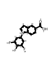 O=C(O)c1ccc2c(ccn2-c2cc(F)c(F)c(F)c2)c1